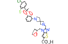 CC1(c2ccc(Cl)cc2F)Oc2cccc(N3CCC4(CN(Cc5nc6sc(C(=O)O)cc6n5C[C@@H]5CCO5)C4)C3)c2O1